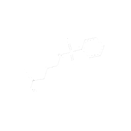 COC(=O)CCCNS(=O)(=O)c1ccccc1